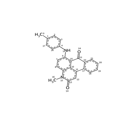 Cc1ccc(Nc2ccc3c4c(cc(=O)n3C)-c3ccccc3C(=O)c24)cc1